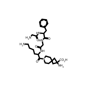 NCCCCC(NC(=O)CNC(=O)C(Cc1ccccc1)NC(=O)CN)C(=O)N1CCC2(CC1)CC(N)(C(=O)O)C2